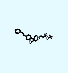 CC(C)(C)OC(=O)CCN1CCC2(CC1)COc1cc(C=Cc3ccccc3)ccc12